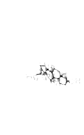 C[C@]12CC[C@@H](O)C[C@H]1CC[C@@H]1[C@@H]2[C@@H](O)C[C@@]2(C)[C@H]1CC[C@]2(C)C(=O)CO